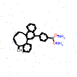 C=C1/C=C\C=C/Cc2c(cc(-c3ccc(B(ON)ON)cc3)c3ccccc23)-c2ccccc21